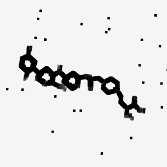 Cc1nnc(-c2cc(Cl)ccc2F)cc1Nc1ccnc(NC(=O)CN2CCN(CCN(C)C(=O)O)CC2)c1